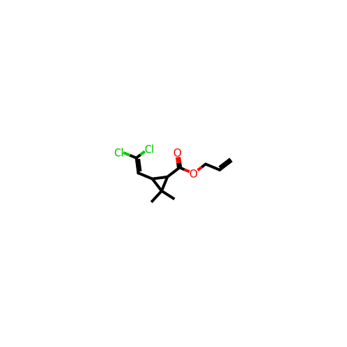 C=CCOC(=O)C1C(C=C(Cl)Cl)C1(C)C